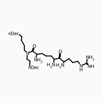 CCCCCCCCCCCCCCN(CCCCCCCCCCCC)C(=O)C(N)CCCC(N)C(=O)C(N)CCCNC(=N)N